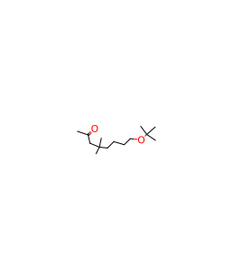 CC(=O)CC(C)(C)CCCCOC(C)(C)C